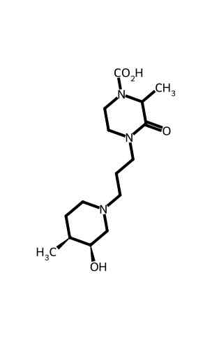 CC1C(=O)N(CCCN2CC[C@H](C)[C@H](O)C2)CCN1C(=O)O